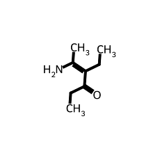 CCC(=O)C(CC)=C(C)N